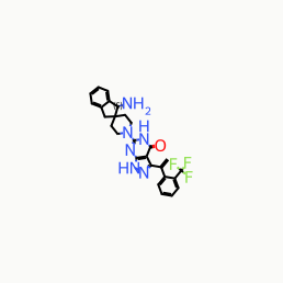 C=C(c1ccccc1C(F)(F)F)c1n[nH]c2nc(N3CCC4(CC3)Cc3ccccc3[C@H]4N)[nH]c(=O)c12